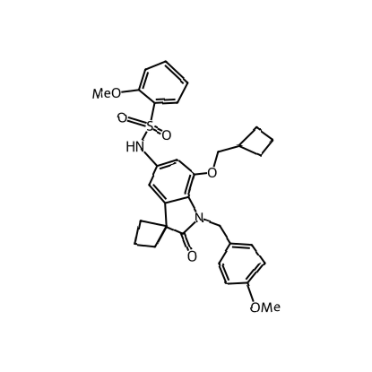 COc1ccc(CN2C(=O)C3(CCC3)c3cc(NS(=O)(=O)c4ccccc4OC)cc(OCC4CCC4)c32)cc1